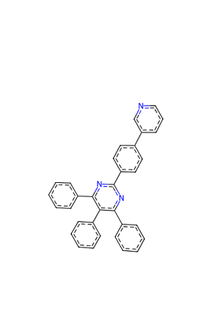 c1ccc(-c2nc(-c3ccc(-c4cccnc4)cc3)nc(-c3ccccc3)c2-c2ccccc2)cc1